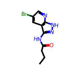 CCCC(=O)Nc1n[nH]c2ncc(Br)cc12